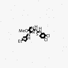 CCN1CCC(CNc2nc(NC(=S)Nc3ccc(Cl)c(Cl)c3)ncc2OC)C1